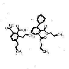 C=CCOC(=O)c1cccc(-c2ccccc2)c1C(=O)OCC=C.C=CCc1ccc(C(=O)O)c(C(=O)O)c1CC=C